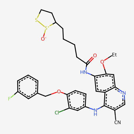 CCOc1cc2ncc(C#N)c(Nc3ccc(OCc4cccc(F)c4)c(Cl)c3)c2cc1NC(=O)CCCCC1CCS[S+]1[O-]